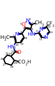 Cc1nc(-c2onc(C)c2Nc2cncc(C(F)(F)F)n2)ccc1NC(=O)C1CCCCC1C(=O)O